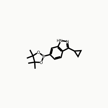 CC1(C)OB(c2ccc3c(C4CC4)n[nH]c3c2)OC1(C)C